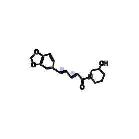 O=C(/C=C/C=C/c1ccc2c(c1)OCO2)N1CCCC(O)C1